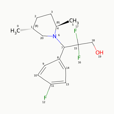 C[C@@H]1CC[C@@H](C)N(C(c2ccc(F)cc2)C(F)(F)CO)C1